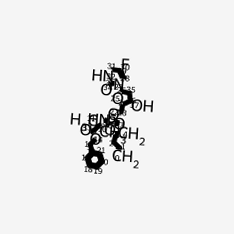 C=CCC(=C)OP(=O)(NC(C)(C)C(=O)OCc1ccccc1)OCC1O[C@@H](N2C=C(F)CNC2=O)C[C@H]1O